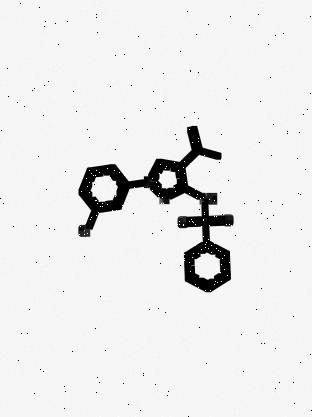 C=C(C)c1cn(-c2cccc(Cl)c2)nc1NS(=O)(=O)c1ccccc1